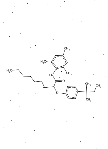 CCCCCCCC(Sc1ccc(C(C)(C)CC)cc1)C(=O)Nc1c(C)cc(C)cc1C